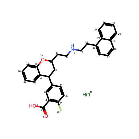 Cl.O=C(O)c1cc(C2CC(CCNCCc3cccc4ccccc34)Oc3ccccc32)ccc1F